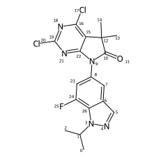 CC(C)n1ncc2cc(N3C(=O)C(C)(C)c4c(Cl)nc(Cl)nc43)cc(F)c21